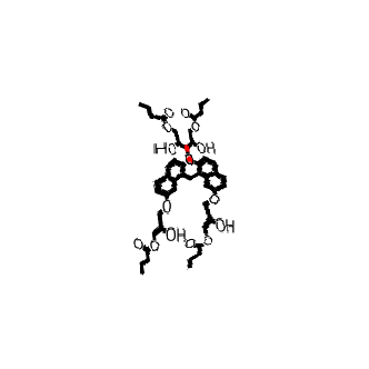 CCCC(=O)OCC(O)COc1ccc2ccc(OCC(O)COC(=O)CCC)c(Cc3c(OCC(O)COC(=O)CCC)ccc4ccc(OCC(O)COC(=O)CCC)cc34)c2c1